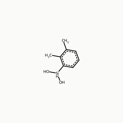 Cc1cccc([SiH](O)O)c1C